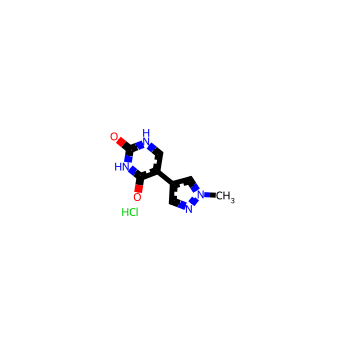 Cl.Cn1cc(-c2c[nH]c(=O)[nH]c2=O)cn1